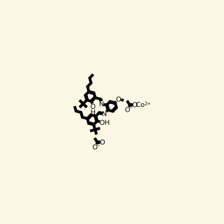 CC(=O)[O-].CC(=O)[O-].CCCCc1cc(C=Nc2ccc(OC)cc2N=Cc2cc(CCCC)cc(C(C)(C)C)c2O)c(O)c(C(C)(C)C)c1.[Co+2]